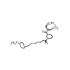 CCN(CC)C(=O)C1CCCN(C(=O)CCCCCCN2CCN(C)CC2)C1